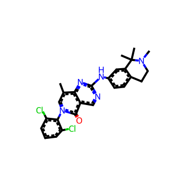 Cc1cn(-c2c(Cl)cccc2Cl)c(=O)c2cnc(Nc3ccc4c(c3)C(C)(C)N(C)CC4)nc12